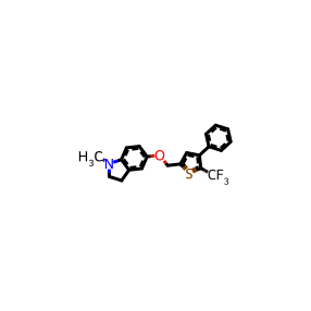 CN1CCc2cc(OCc3cc(-c4ccccc4)c(C(F)(F)F)s3)ccc21